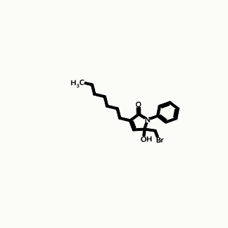 CCCCCCCC1=CC(O)(CBr)N(c2ccccc2)C1=O